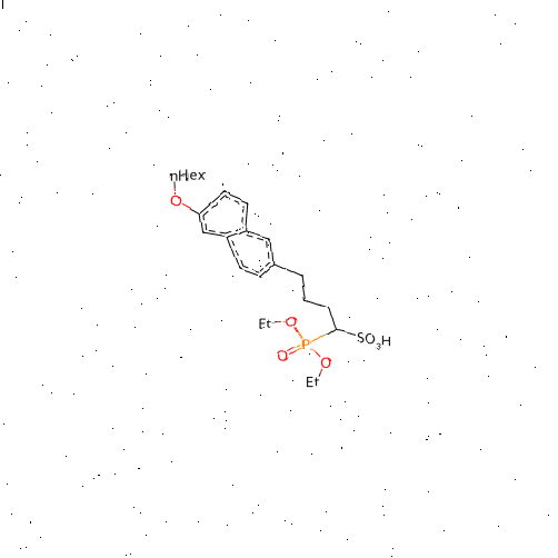 CCCCCCOc1ccc2cc(CCCC(P(=O)(OCC)OCC)S(=O)(=O)O)ccc2c1